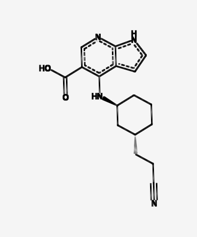 N#CCC[C@H]1CCC[C@H](Nc2c(C(=O)O)cnc3[nH]ccc23)C1